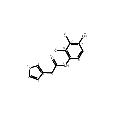 O=C(Cc1ccsc1)Nc1ccc(O)c(Cl)c1Cl